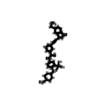 COc1ccc2[nH]nc(C#Cc3cncc(C(=O)Nc4ccc(CN5CCN(C)CC5)c(C(F)(F)F)c4)c3)c2c1